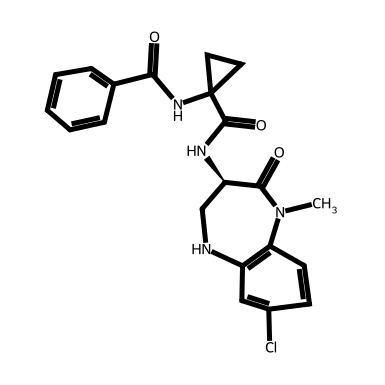 CN1C(=O)[C@H](NC(=O)C2(NC(=O)c3ccccc3)CC2)CNc2cc(Cl)ccc21